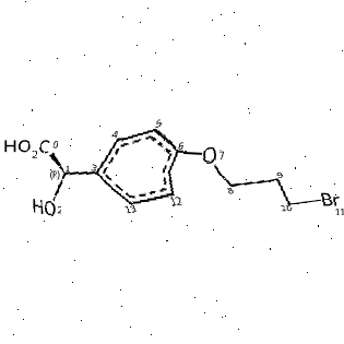 O=C(O)[C@H](O)c1ccc(OCCCBr)cc1